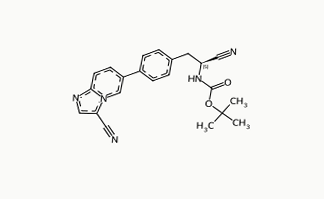 CC(C)(C)OC(=O)N[C@H](C#N)Cc1ccc(-c2ccc3ncc(C#N)n3c2)cc1